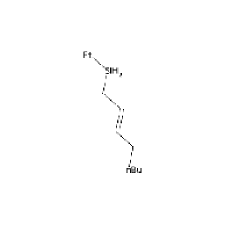 CCCCC/C=C/C[SiH2]CC